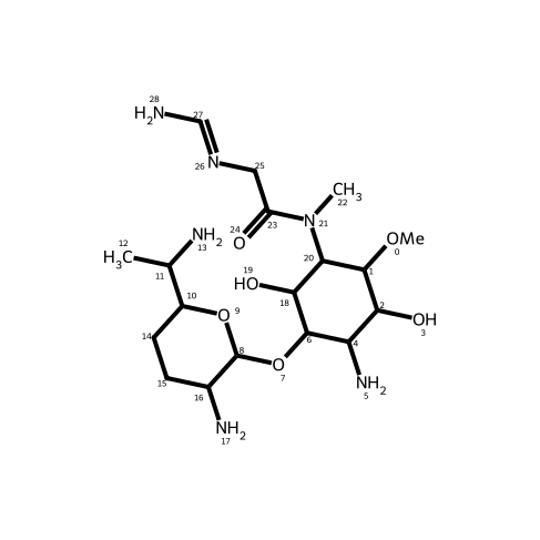 COC1C(O)C(N)C(OC2OC(C(C)N)CCC2N)C(O)C1N(C)C(=O)CN=CN